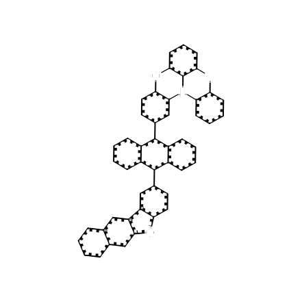 c1ccc2c(c1)Oc1cccc3c1B2c1cc(-c2c4ccccc4c(-c4ccc5oc6cc7ccccc7cc6c5c4)c4ccccc24)ccc1O3